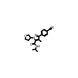 Cc1c(-c2ccc(C#N)cc2)nn(C2CCOC2)c1C(=O)NC(C)C